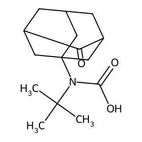 CC(C)(C)N(C(=O)O)C12CC3CC(C1)C(=O)C(C3)C2